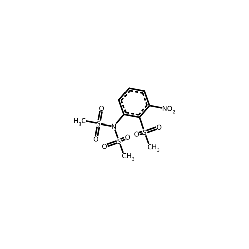 CS(=O)(=O)c1c(N(S(C)(=O)=O)S(C)(=O)=O)cccc1[N+](=O)[O-]